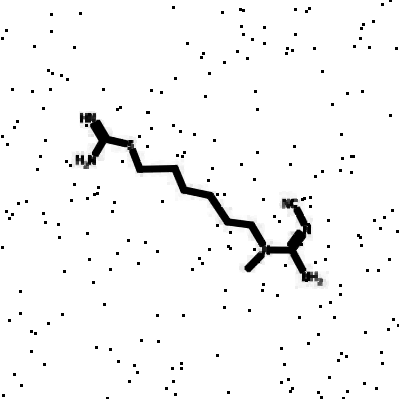 CN(CCCCCCSC(=N)N)C(N)=NC#N